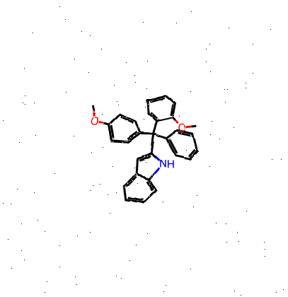 COc1ccc(C(c2ccccc2)(c2cc3ccccc3[nH]2)c2ccccc2OC)cc1